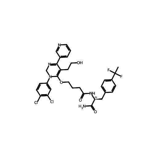 CC(F)(F)c1ccc(C[C@H](NC(=O)CCCOC2=C(CCO)C(c3cccnc3)=NCN2c2ccc(Cl)c(Cl)c2)C(N)=O)cc1